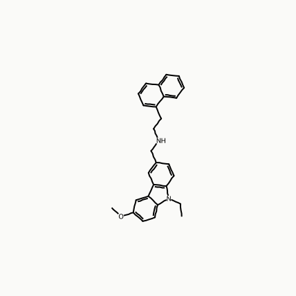 CCn1c2ccc(CNCCc3cccc4ccccc34)cc2c2cc(OC)ccc21